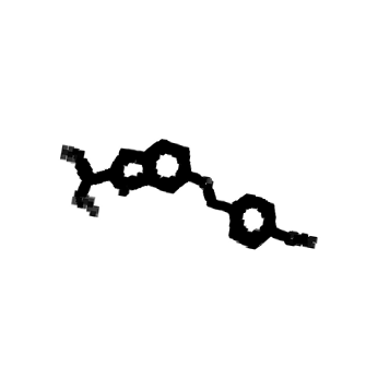 CC(=O)Oc1ccc(COc2ccc3cc(C(=N)N)sc3c2)cc1